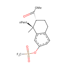 CCCCC[C@]1(C)c2cc(OS(=O)(=O)C(F)(F)F)ccc2CC[C@H]1C(=O)OC